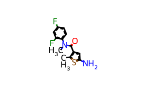 Cc1sc(N)cc1C(=O)N(C)c1ccc(F)cc1F